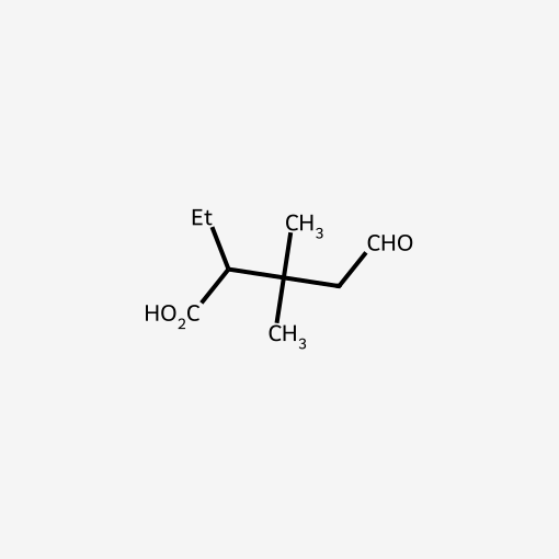 CCC(C(=O)O)C(C)(C)CC=O